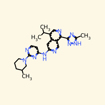 Cc1nc(-c2ncc(C(C)C)c3cc(Nc4ccnc(N5CCCC(C)C5)n4)ncc23)n[nH]1